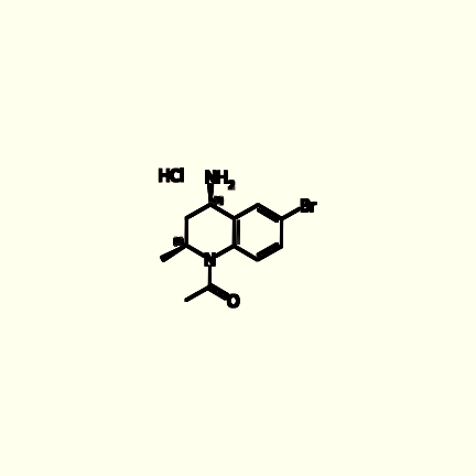 CC(=O)N1c2ccc(Br)cc2[C@H](N)C[C@@H]1C.Cl